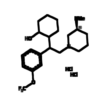 CN[C@H]1CCCN(CC(c2cccc(OC(F)(F)F)c2)C2CCCCC2O)C1.Cl.Cl